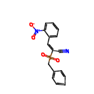 N#CC(=Cc1ccccc1[N+](=O)[O-])S(=O)(=O)Cc1ccccc1